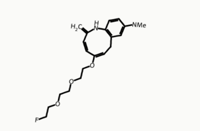 C=C1/C=C\C(OCCOCCOCCF)=C/Cc2cc(NC)ccc2N1